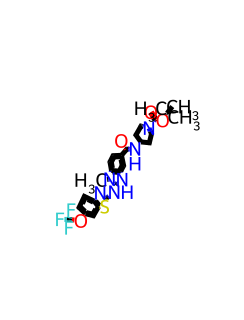 Cn1c(Nc2nc3ccc(OC(F)(F)F)cc3s2)nc2cc(C(=O)NC3CCN(C(=O)OC(C)(C)C)CC3)ccc21